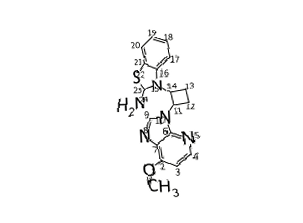 COc1ccnc2c1ncn2C1CCC1N1c2ccccc2SC1N